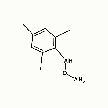 Cc1cc(C)[c]([AlH][O][AlH2])c(C)c1